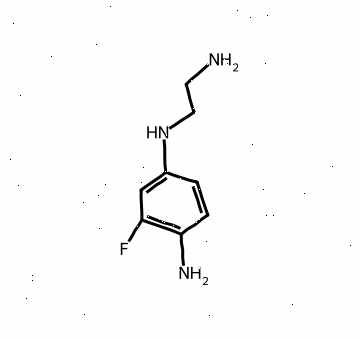 NCCNc1ccc(N)c(F)c1